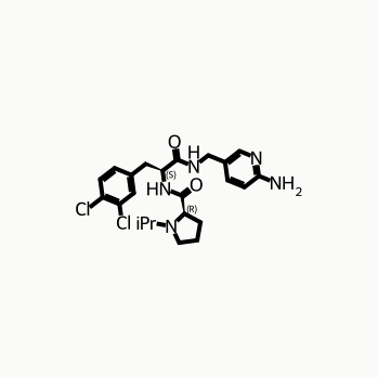 CC(C)N1CCC[C@@H]1C(=O)N[C@@H](Cc1ccc(Cl)c(Cl)c1)C(=O)NCc1ccc(N)nc1